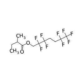 CCC(C)C(=O)OCC(F)(F)C(F)(F)CCC(F)(F)C(F)(F)F